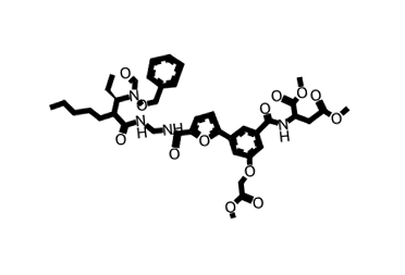 CCCCCC(C(=O)NCNC(=O)c1ccc(-c2cc(OCC(=O)OC)cc(C(=O)NC(CC(=O)OC)C(=O)OC)c2)o1)[C@@H](CC)N(C=O)OCc1ccccc1